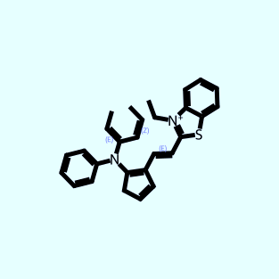 C/C=C\C(=C/C)N(C1=C(/C=C/c2sc3ccccc3[n+]2CC)C=CC1)c1ccccc1